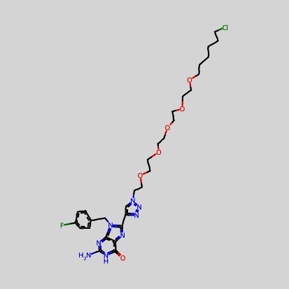 Nc1nc2c(nc(-c3cn(CCOCCOCCOCCOCCOCCCCCCCl)nn3)n2Cc2ccc(F)cc2)c(=O)[nH]1